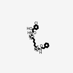 O=C(Cc1ccccc1)Nc1nnc(CCCCc2nnc(NC(=O)C(O)c3cccc(Cl)c3)s2)s1